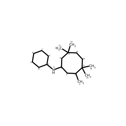 CC1CC(NC2CCCCC2)CC(C)(C)CCC1(C)C